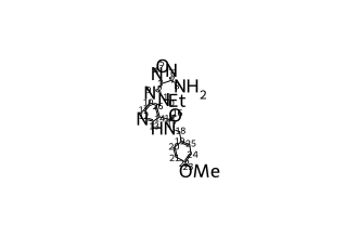 CCn1c(-c2nonc2N)nc2cncc(C(=O)NCc3ccc(OC)cc3)c21